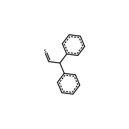 S=[C]C(c1ccccc1)c1ccccc1